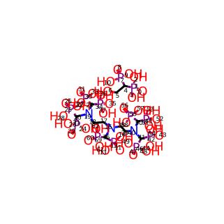 O=P(O)(O)C(CO)P(=O)(O)O.O=P(O)(O)C(N(CCN(C(P(=O)(O)O)P(=O)(O)O)C(P(=O)(O)O)P(=O)(O)O)CCN(C(P(=O)(O)O)P(=O)(O)O)C(P(=O)(O)O)P(=O)(O)O)P(=O)(O)O